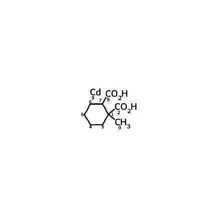 CC1(C(=O)O)CCCCC1C(=O)O.[Cd]